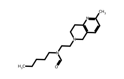 CCCCCN(C=O)CCN1CCc2nc(C)ccc2C1